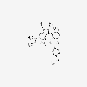 COc1ccc(COc2ccc(C)c(-n3c(N)c(C#N)c4cc(C(C)OC)c(C)nc43)c2C)cc1